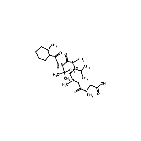 CC(C)[C@@H](CN(C)CC(=O)N(C)CC(=O)O)N(C)C(=O)[C@@H](NC(=O)C1CCCCN1C)C(C)(C)C